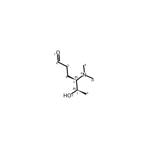 C[C@@H](O)[C@@H](CCC=O)N(C)C